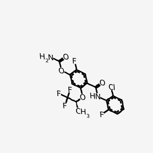 C[C@H](Oc1cc(OC(N)=O)c(F)cc1C(=O)Nc1c(F)cccc1Cl)C(F)(F)F